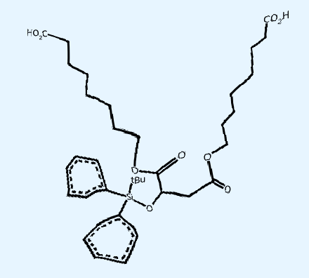 CC(C)(C)[Si](OC(CC(=O)OCCCCCCCC(=O)O)C(=O)OCCCCCCCC(=O)O)(c1ccccc1)c1ccccc1